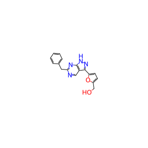 OCc1ccc(-c2n[nH]c3nc(Cc4ccccc4)ncc23)o1